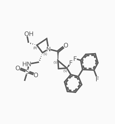 CS(=O)(=O)NC[C@@H]1[C@H](CO)CN1C(=O)[C@@H]1C[C@@]1(F)c1ccccc1-c1c(F)cccc1F